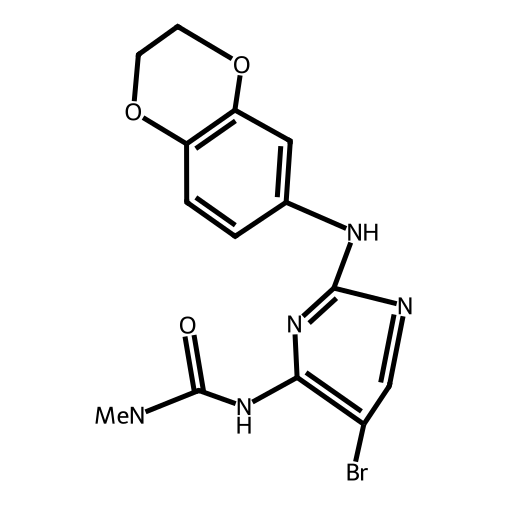 CNC(=O)Nc1nc(Nc2ccc3c(c2)OCCO3)ncc1Br